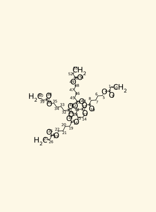 C=CC(=O)OCCCCC(=O)O[C@H]1OC[C@@H](OC(=O)CCCCOC(=O)C=C)[C@H](OC(=O)CCCCOC(=O)C=C)[C@H]1OC(=O)CCCCOC(=O)C=C